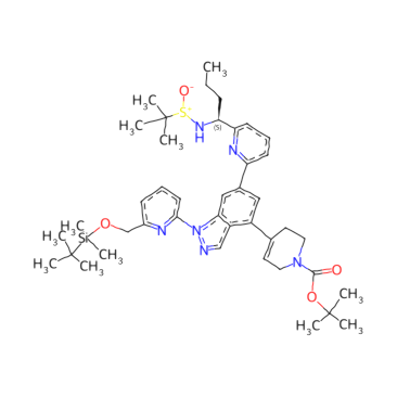 CCC[C@H](N[S+]([O-])C(C)(C)C)c1cccc(-c2cc(C3=CCN(C(=O)OC(C)(C)C)CC3)c3cnn(-c4cccc(CO[Si](C)(C)C(C)(C)C)n4)c3c2)n1